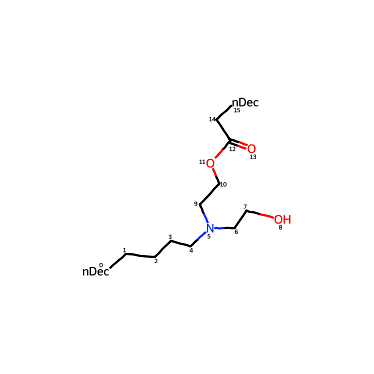 CCCCCCCCCCCCCCN(CCO)CCOC(=O)CCCCCCCCCCC